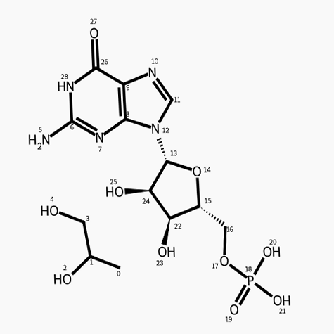 CC(O)CO.Nc1nc2c(ncn2[C@@H]2O[C@H](COP(=O)(O)O)[C@@H](O)[C@H]2O)c(=O)[nH]1